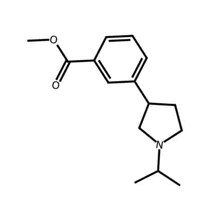 COC(=O)c1cccc(C2CCN(C(C)C)C2)c1